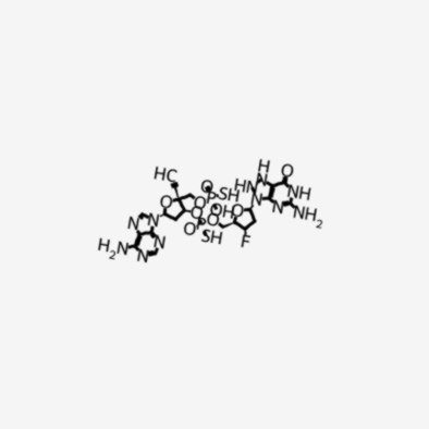 C#C[C@]1(COP(=O)(O)S)O[C@@H](n2cnc3c(N)ncnc32)C[C@@H]1OP(=O)(S)OC[C@H]1O[C@@H](N2NNc3c2nc(N)[nH]c3=O)C[C@H]1F